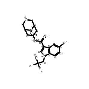 CN1C2COCC1CC(NC(=O)c1cn(CC(F)(F)F)c3ccc(F)cc13)C2